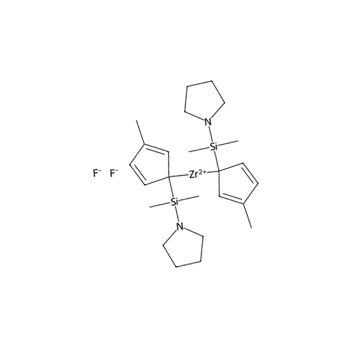 CC1=C[C]([Zr+2][C]2([Si](C)(C)N3CCCC3)C=CC(C)=C2)([Si](C)(C)N2CCCC2)C=C1.[F-].[F-]